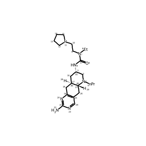 CCCN1C[C@@H](NC(=O)N(CC)CCN2CCCC2)C[C@@H]2Cc3nc(N)ncc3C[C@H]21